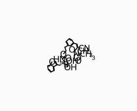 CC1(C)COCCN1C(=O)C(C#N)=Cc1cccc(CCOC(=O)N[C@@H](Cc2coc3ccccc23)B(O)O)c1